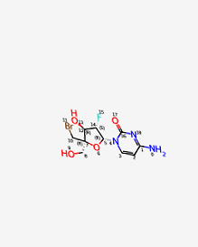 Nc1ccn([C@@H]2O[C@@](CO)(CBr)[C@@H](O)[C@@H]2F)c(=O)n1